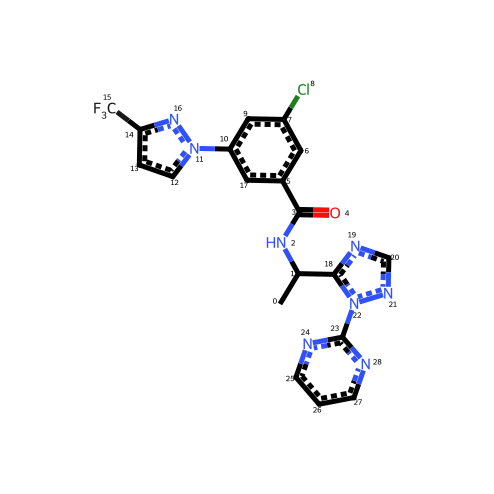 CC(NC(=O)c1cc(Cl)cc(-n2ccc(C(F)(F)F)n2)c1)c1ncnn1-c1ncccn1